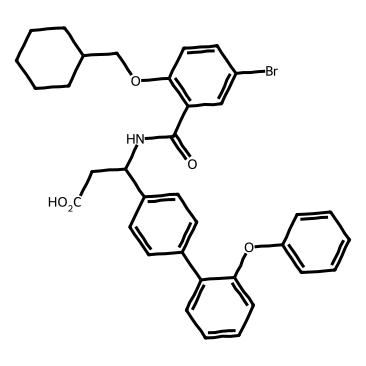 O=C(O)CC(NC(=O)c1cc(Br)ccc1OCC1CCCCC1)c1ccc(-c2ccccc2Oc2ccccc2)cc1